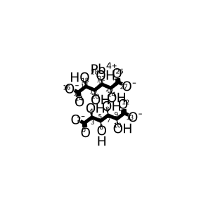 O=C([O-])[C@@H](O)[C@@H](O)[C@H](O)[C@@H](O)C(=O)[O-].O=C([O-])[C@@H](O)[C@@H](O)[C@H](O)[C@@H](O)C(=O)[O-].[Pb+4]